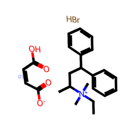 Br.CC[N+](C)(C)C(C)CC(c1ccccc1)c1ccccc1.O=C([O-])/C=C\C(=O)O